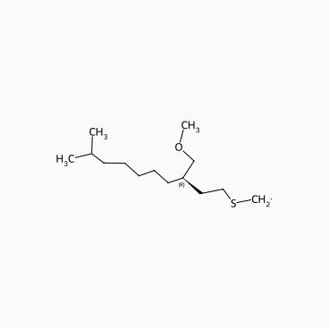 [CH2]SCC[C@@H](CCCCCC(C)C)COC